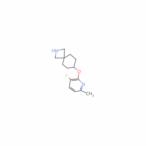 Cc1ccc(F)c(OC2CCC3(CC2)CNC3)n1